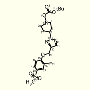 CC(C)(C)OC(=O)ON1CCC(n2ncc(COc3ccc(S(C)(=O)=O)cc3F)n2)CC1